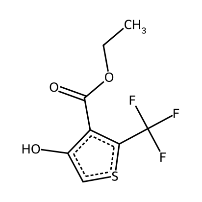 CCOC(=O)c1c(O)csc1C(F)(F)F